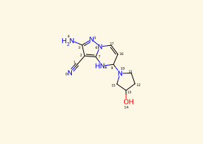 N#Cc1c(N)nn2c1NC(N1CCC(O)C1)C=C2